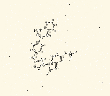 Cc1nc2cc(CN(C)C)ccn2c1-c1csc(Nc2ccc(C(=O)Nc3ccccc3N)cc2)n1